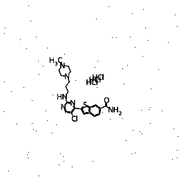 CN1CCN(CCCNc2ncc(Cl)c(-c3cc4ccc(C(N)=O)cc4s3)n2)CC1.Cl.Cl.Cl